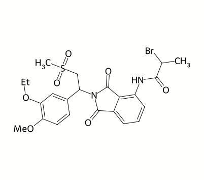 CCOc1cc(C(CS(C)(=O)=O)N2C(=O)c3cccc(NC(=O)C(C)Br)c3C2=O)ccc1OC